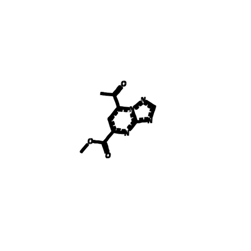 COC(=O)c1cc(C(C)=O)n2ncnc2n1